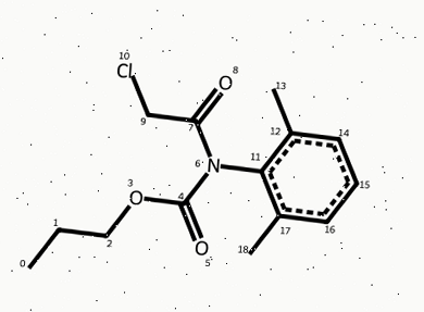 CCCOC(=O)N(C(=O)CCl)c1c(C)cccc1C